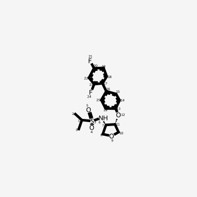 CC(C)S(=O)(=O)N[C@H]1COC[C@H]1Oc1ccc(-c2ccc(F)cc2F)cc1